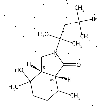 CC1CCC(C)(O)[C@@H]2CN(C(C)(C)CC(C)(C)Br)C(=O)[C@H]12